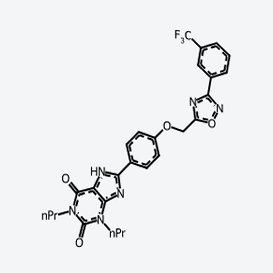 CCCn1c(=O)c2[nH]c(-c3ccc(OCc4nc(-c5cccc(C(F)(F)F)c5)no4)cc3)nc2n(CCC)c1=O